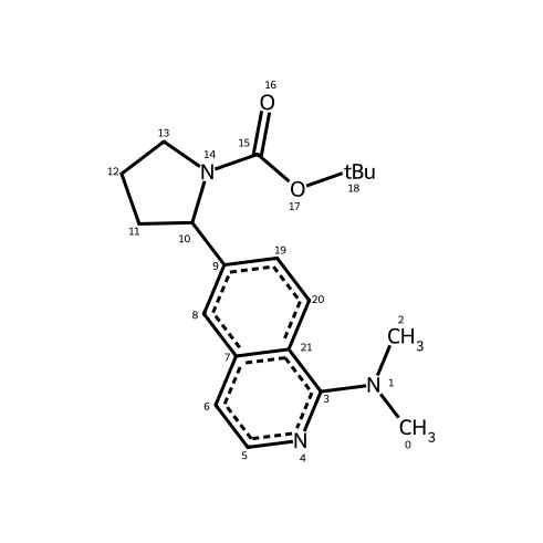 CN(C)c1nccc2cc(C3CCCN3C(=O)OC(C)(C)C)ccc12